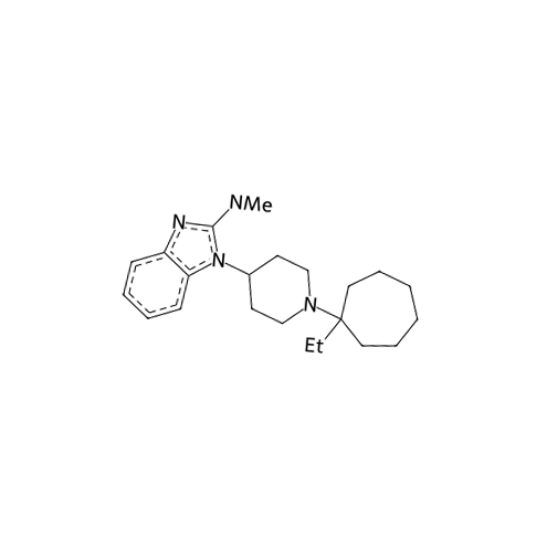 CCC1(N2CCC(n3c(NC)nc4ccccc43)CC2)CCCCCC1